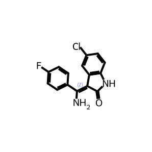 N/C(=C1\C(=O)Nc2ccc(Cl)cc21)c1ccc(F)cc1